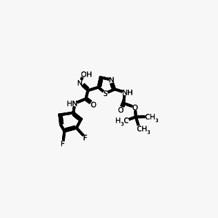 CC(C)(C)OC(=O)Nc1ncc(C(=NO)C(=O)Nc2ccc(F)c(F)c2)s1